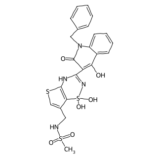 CS(=O)(=O)NCc1csc2c1S(O)(O)N=C(c1c(O)c3ccccc3n(Cc3ccccc3)c1=O)N2